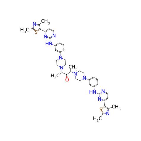 Cc1nc(C)c(-c2ccnc(Nc3cccc(N4CCN(C(C)C(=O)C(C)N5CCN(c6cccc(Nc7nccc(-c8sc(C)nc8C)n7)c6)CC5)CC4)c3)n2)s1